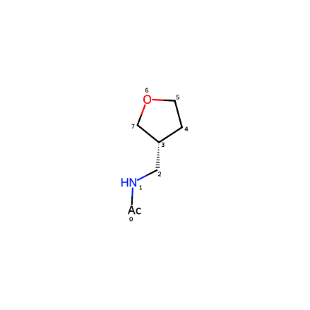 CC(=O)NC[C@H]1CCOC1